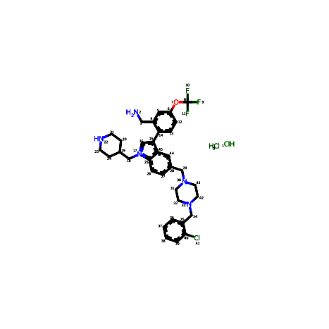 Cl.Cl.NCc1cc(OC(F)(F)F)ccc1-c1cn(CC2CCNCC2)c2ccc(CN3CCN(Cc4ccccc4Cl)CC3)cc12